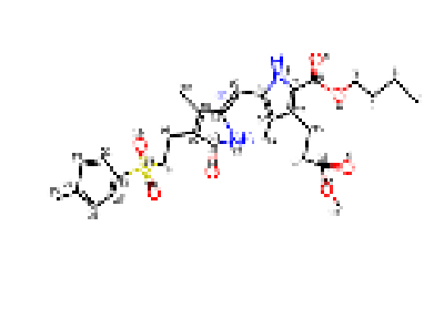 CCCCOC(=O)c1[nH]c(/C=C2\NC(=O)C(CCS(=O)(=O)c3ccc(C)cc3)=C2C)c(C)c1CCC(=O)OC